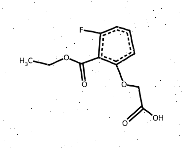 CCOC(=O)c1c(F)cccc1OCC(=O)O